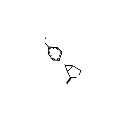 O=C(O)Nc1ccc([C@@H]2[C@H]3COC(=O)[C@H]32)cc1